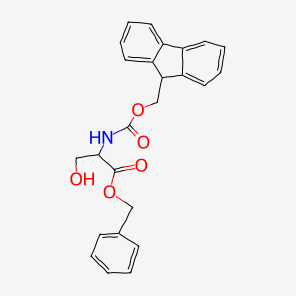 O=C(NC(CO)C(=O)OCc1ccccc1)OCC1c2ccccc2-c2ccccc21